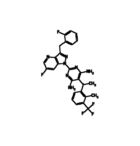 C[C](c1cccc(C(F)(F)F)c1C)c1c(N)nc(-n2nc(Cc3ccccc3F)c3ncc(F)cc32)nc1N